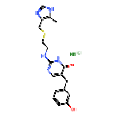 Cc1[nH]cnc1CSCCNc1ncc(Cc2cccc(O)c2)c(=O)[nH]1.Cl.Cl